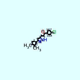 Cc1ccc(-c2cc(C=CC(=O)c3ccc(Cl)cc3)[nH]n2)cc1C